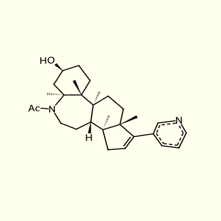 CC(=O)N1CC[C@@H]2[C@](C)(CC[C@]3(C)C(c4cccnc4)=CC[C@@]23C)[C@@]2(C)CC[C@H](O)C[C@]12C